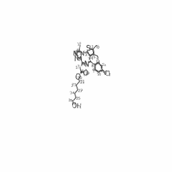 Cc1sc2c(c1C)C(c1ccc(Cl)cc1)=N[C@H](CC(=O)OCCCCCCO)c1nnc(C)n1-2